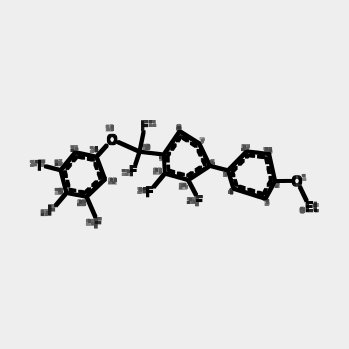 CCOc1ccc(-c2ccc(C(F)(F)Oc3cc(F)c(F)c(F)c3)c(F)c2F)cc1